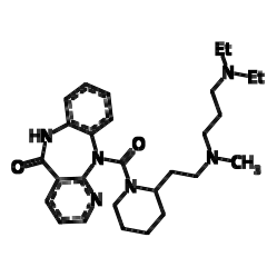 CCN(CC)CCCN(C)CCC1CCCCN1C(=O)N1c2ccccc2NC(=O)c2cccnc21